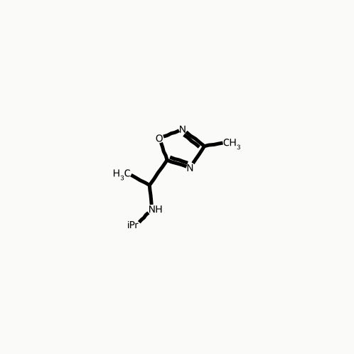 Cc1noc(C(C)NC(C)C)n1